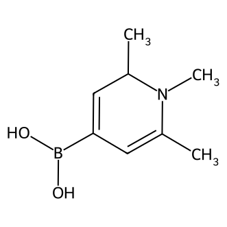 CC1=CC(B(O)O)=CC(C)N1C